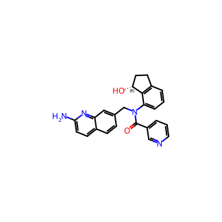 Nc1ccc2ccc(CN(C(=O)c3cccnc3)c3cccc4c3[C@H](O)CC4)cc2n1